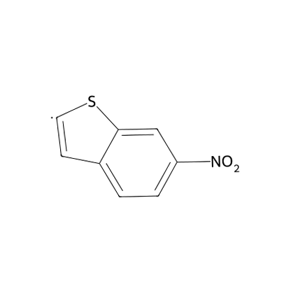 O=[N+]([O-])c1ccc2c[c]sc2c1